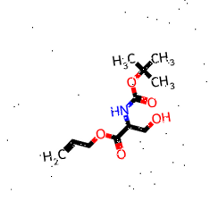 C=CCOC(=O)C(CO)NC(=O)OC(C)(C)C